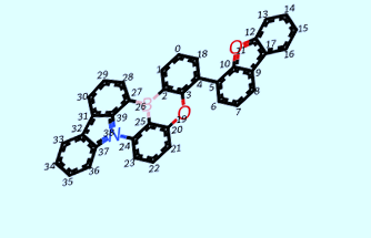 c1cc2c(c(-c3cccc4c3oc3ccccc34)c1)Oc1cccc3c1B2c1cccc2c4ccccc4n-3c12